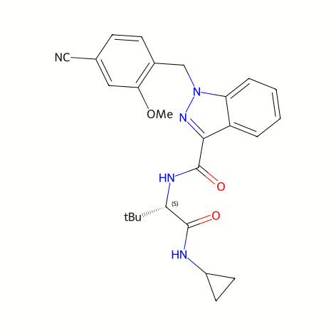 COc1cc(C#N)ccc1Cn1nc(C(=O)N[C@H](C(=O)NC2CC2)C(C)(C)C)c2ccccc21